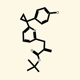 C=C(Cc1cccc(C2(c3ccc(Cl)cc3)CC2)n1)C(=O)OC(C)(C)C